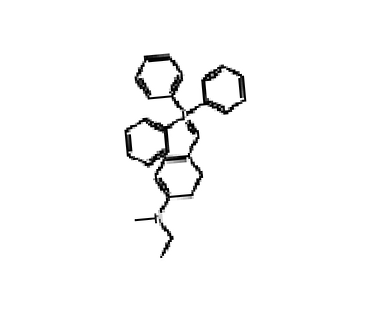 CCN(C)C1=CC=C(C=P(c2ccccc2)(c2ccccc2)c2ccccc2)CC1